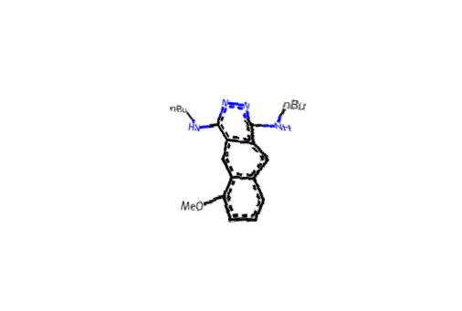 CCCCNc1nnc(NCCCC)c2cc3c(OC)cccc3cc12